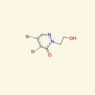 O=c1c(Br)c(Br)cnn1CCO